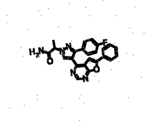 CC(C(N)=O)n1cc(-c2ncnc3oc(-c4ccccc4)cc23)c(-c2ccc(F)cc2)n1